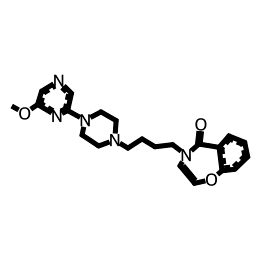 COc1cncc(N2CCN(CCCCN3C=COc4ccccc4C3=O)CC2)n1